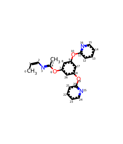 C/C=C\N=C(/C)Oc1cc(Oc2ccccn2)cc(Oc2ccccn2)c1